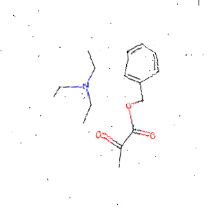 CC(=O)C(=O)OCc1ccccc1.CCN(CC)CC